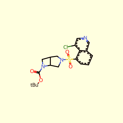 CC(C)(C)OC(=O)N1CC2CN(S(=O)(=O)c3cccc4cncc(Cl)c34)CC21